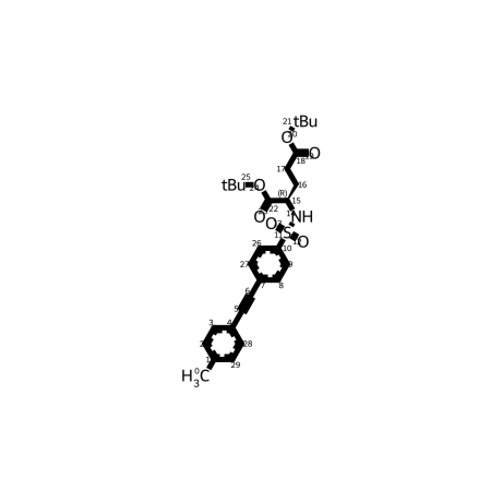 Cc1ccc(C#Cc2ccc(S(=O)(=O)N[C@H](CCC(=O)OC(C)(C)C)C(=O)OC(C)(C)C)cc2)cc1